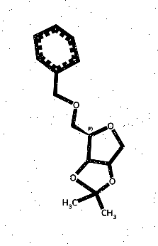 CC1(C)OC2CO[C@H](COCc3ccccc3)C2O1